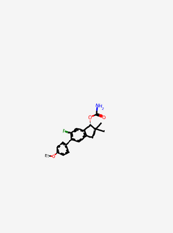 CCOc1ccc(-c2cc3c(cc2F)[C@H](OC(N)=O)C(C)(C)C3)cc1